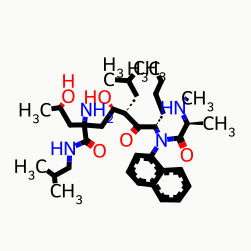 CCCC[C@@H](C(=O)[C@@H](CC(C)C)[C@H](O)CC(N)(CC(C)O)C(=O)NCC(C)C)N(C(=O)[C@H](C)NC)c1cccc2ccccc12